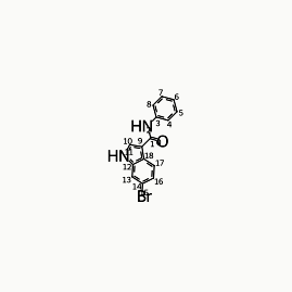 O=C(Nc1ccccc1)c1c[nH]c2cc(Br)ccc12